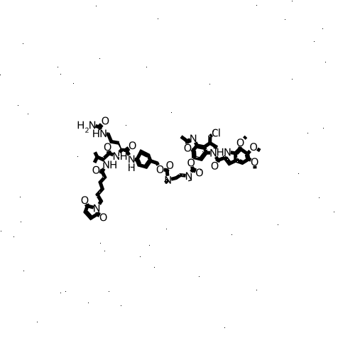 COc1cc2cc(C(=O)N3CC(CCl)c4c3cc(OC(=O)N(C)CCN(C)C(=O)OCc3ccc(NC(=O)[C@H](CCCNC(N)=O)NC(=O)[C@@H](NC(=O)CCCCCN5C(=O)C=CC5=O)C(C)C)cc3)c3oc(C)nc43)[nH]c2c(OC)c1OC